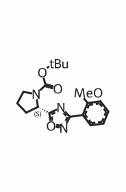 COc1ccccc1-c1noc([C@@H]2CCCN2C(=O)OC(C)(C)C)n1